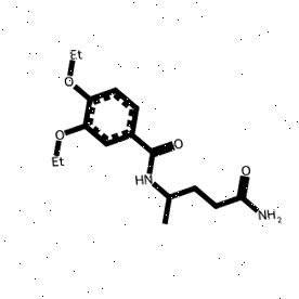 CCOc1ccc(C(=O)NC(C)CCC(N)=O)cc1OCC